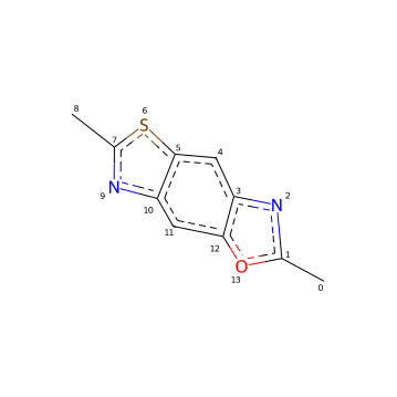 Cc1nc2cc3sc(C)nc3cc2o1